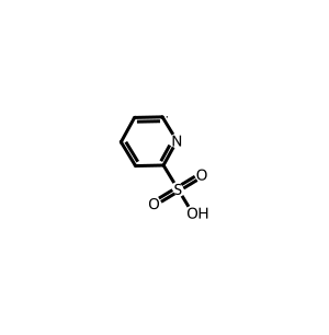 O=S(=O)(O)c1ccc[c]n1